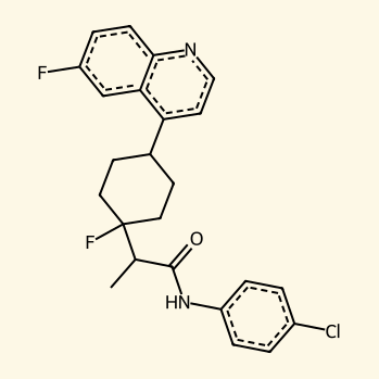 CC(C(=O)Nc1ccc(Cl)cc1)C1(F)CCC(c2ccnc3ccc(F)cc23)CC1